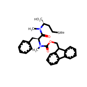 CSCC[C@@H](C(=O)O)N(C)C(=O)[C@H](Cc1ccccc1)N(C)C(=O)OCC1c2ccccc2-c2ccccc21